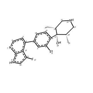 CCc1cc(-c2ccnc3[nH]cc(F)c23)ccc1[C@@]1(O)[C@H](C)CNC[C@@H]1C